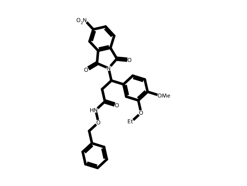 CCOc1cc(C(CC(=O)NOCc2ccccc2)N2C(=O)c3ccc([N+](=O)[O-])cc3C2=O)ccc1OC